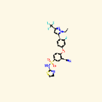 CCn1nc(C(F)(F)F)cc1-c1ccc(Oc2ccc(S(=O)(=O)Nc3nccs3)cc2C#N)cc1F